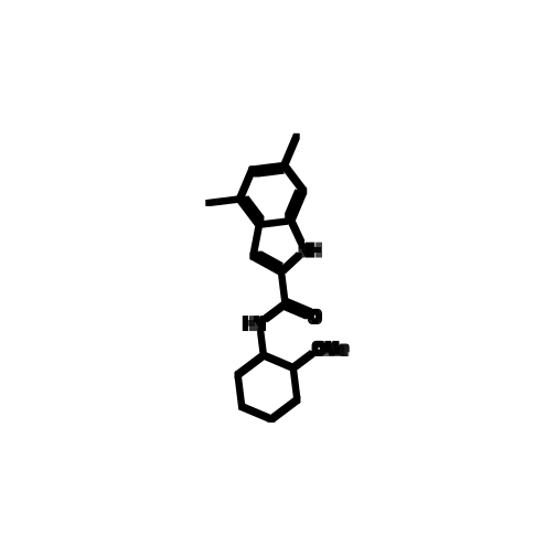 COC1CCCCC1NC(=O)c1cc2c(C)cc(C)cc2[nH]1